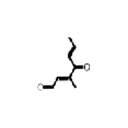 C/C=C/C(=O)C(C)=CC=O